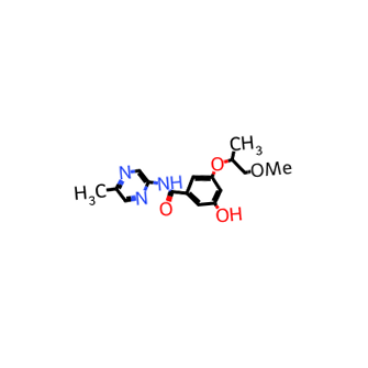 COCC(C)Oc1cc(O)cc(C(=O)Nc2cnc(C)cn2)c1